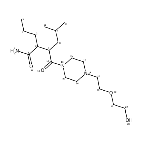 CCCC(C(N)=O)C(CC(C)C)C(=O)N1CCN(CCOCCO)CC1